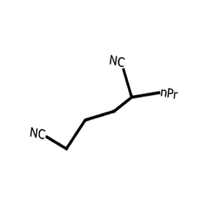 [CH2]CCC(C#N)CCCC#N